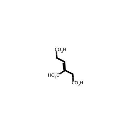 O=C(O)C/C=C(/CC(=O)O)C(=O)O